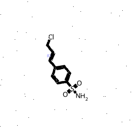 NS(=O)(=O)c1ccc(/C=C/CCl)cc1